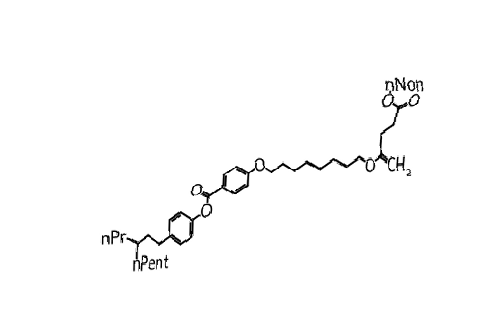 C=C(CCC(=O)OCCCCCCCCC)OCCCCCCCCOc1ccc(C(=O)Oc2ccc(CCC(CCC)CCCCC)cc2)cc1